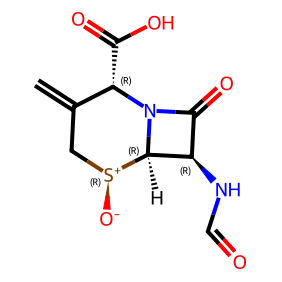 C=C1C[S@+]([O-])[C@@H]2[C@H](NC=O)C(=O)N2[C@H]1C(=O)O